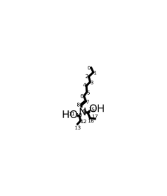 CCCCCCCC=CN(C(O)CC)C(O)CC